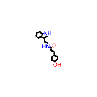 O=C(C=Cc1ccc(O)cc1)NCCc1c[nH]c2ccccc12